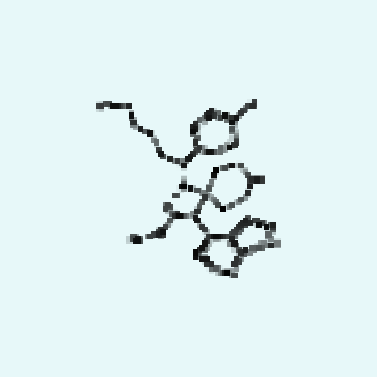 CC(C)(C)OC(=O)N(c1ncnc2[nH]ccc12)C1(C(=O)N(CCCCO)c2ccc(Cl)cc2)CCNCC1